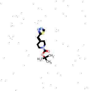 CC(C)(C)OC(=O)N1CCC(=Cc2nncs2)CC1